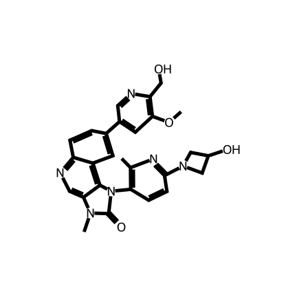 COc1cc(-c2ccc3ncc4c(c3c2)n(-c2ccc(N3CC(O)C3)nc2C)c(=O)n4C)cnc1CO